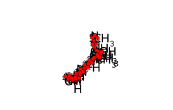 Cc1ncsc1-c1ccc(CNC(=O)[C@@H]2C[C@@H](O)CN2C(=O)[C@@H](NC(=O)[C@H]2CC[C@H](c3ccc(-c4cnc(N5CCN6c7cc(-c8ccccc8O)nnc7NC[C@H]6C5)nc4)cc3)CC2)C(C)(C)C)cc1